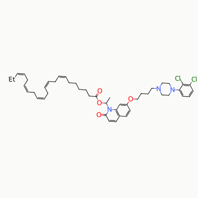 CC/C=C\C/C=C\C/C=C\C/C=C\C/C=C\CCCCCC(=O)OC(C)n1c(=O)ccc2ccc(OCCCCN3CCN(c4cccc(Cl)c4Cl)CC3)cc21